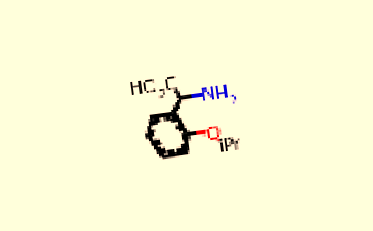 CC(C)Oc1ccccc1C(N)C(=O)O